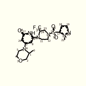 CC1COCCN1c1cc(N2CCN(S(=O)(=O)c3ccnn3C)CC2C(F)(F)F)[nH]c(=O)c1